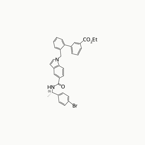 CCOC(=O)c1cccc(-c2ccccc2Cn2ccc3cc(C(=O)N[C@@H](C)c4ccc(Br)cc4)ccc32)c1